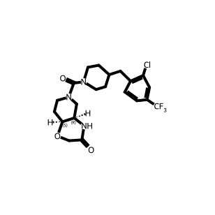 O=C1CO[C@H]2CCN(C(=O)N3CCC(Cc4ccc(C(F)(F)F)cc4Cl)CC3)C[C@H]2N1